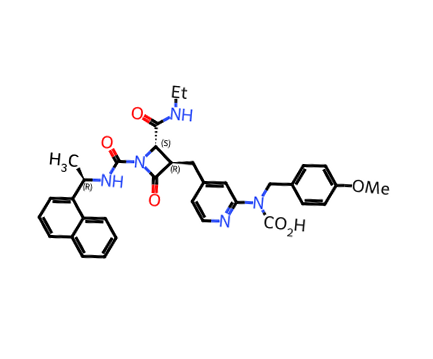 CCNC(=O)[C@@H]1[C@@H](Cc2ccnc(N(Cc3ccc(OC)cc3)C(=O)O)c2)C(=O)N1C(=O)N[C@H](C)c1cccc2ccccc12